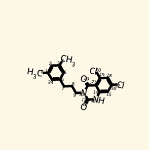 Cc1cc(C)cc(CCCn2c(=O)[nH]c3cc(Cl)cc(Cl)c3c2=O)c1